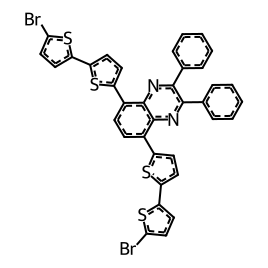 Brc1ccc(-c2ccc(-c3ccc(-c4ccc(-c5ccc(Br)s5)s4)c4nc(-c5ccccc5)c(-c5ccccc5)nc34)s2)s1